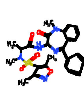 Cc1noc(C)c1S(=O)(=O)N(C)C(C)C(=O)NC1N=C(c2ccccc2)c2ccccc2N(C)C1=O